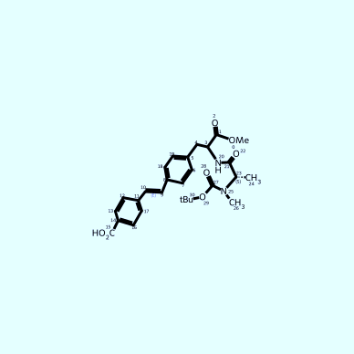 COC(=O)C(Cc1ccc(/C=C/c2ccc(C(=O)O)cc2)cc1)NC(=O)[C@H](C)N(C)C(=O)OC(C)(C)C